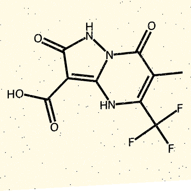 Cc1c(C(F)(F)F)[nH]c2c(C(=O)O)c(=O)[nH]n2c1=O